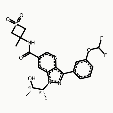 C[C@H](O)[C@@H](C)n1nc(-c2cccc(OC(F)F)c2)c2ncc(C(=O)NC3(C)CS(=O)(=O)C3)cc21